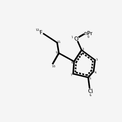 CCCOc1ccc(Cl)cc1[C](C)CF